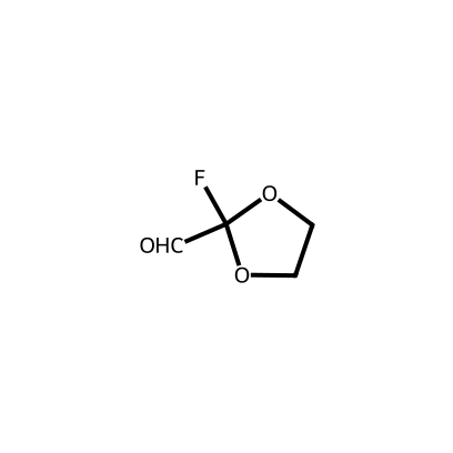 O=CC1(F)OCCO1